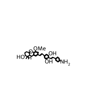 COc1cc(/C=C/c2cc(O)c(/C=C/c3ccc(N)cc3)c(O)c2)cc2c1O[C@]1(C)CC[C@@H](O)C(C)(C)[C@H]1C2